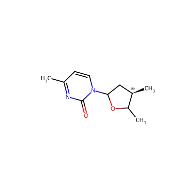 Cc1ccn(C2C[C@@H](C)C(C)O2)c(=O)n1